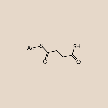 CC(=O)SC(=O)CCC(=O)S